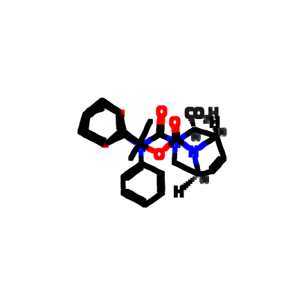 CC(C)(OC(=O)N1[C@@H]2C=C[C@H]1CN(C(=O)N(c1ccccc1)c1ccccc1)[C@@H]2C(=O)O)c1ccccc1